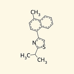 Cc1ccc(-c2csc(C(C)C)n2)c2ccccc12